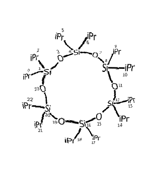 CC(C)[Si]1(C(C)C)O[Si](C(C)C)(C(C)C)O[Si](C(C)C)(C(C)C)O[Si](C(C)C)(C(C)C)O[Si](C(C)C)(C(C)C)O[Si](C(C)C)(C(C)C)O1